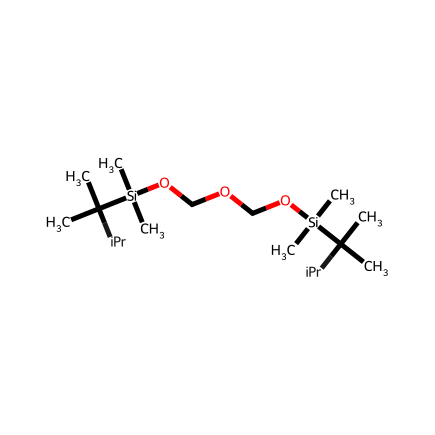 CC(C)C(C)(C)[Si](C)(C)OCOCO[Si](C)(C)C(C)(C)C(C)C